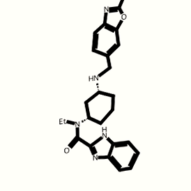 CCN(C(=O)c1nc2ccccc2[nH]1)[C@H]1CCC[C@@H](NCc2ccc3nc(C)oc3c2)C1